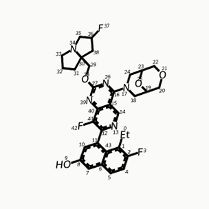 CCc1c(F)ccc2cc(O)cc(-c3ncc4c(N5CC6COCC(C5)O6)nc(OCC56CCCN5CC(F)C6)nc4c3F)c12